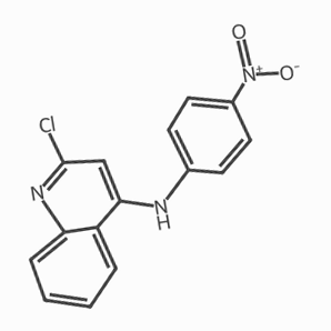 O=[N+]([O-])c1ccc(Nc2cc(Cl)nc3ccccc23)cc1